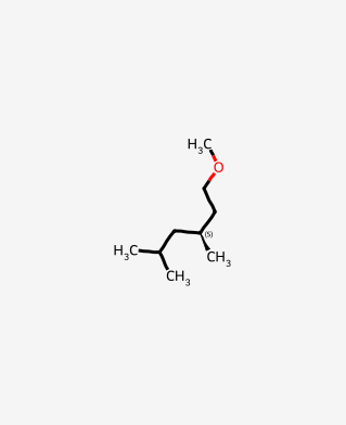 COCC[C@@H](C)CC(C)C